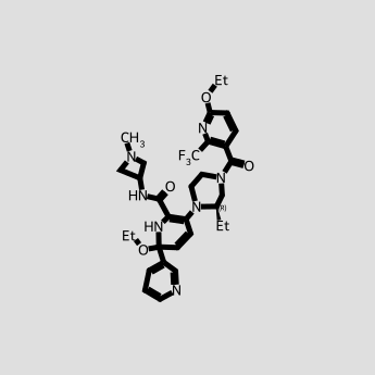 CCOc1ccc(C(=O)N2CCN(C3=C(C(=O)NC4CN(C)C4)NC(OCC)(c4cccnc4)C=C3)[C@H](CC)C2)c(C(F)(F)F)n1